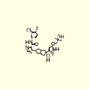 CN1NC(OCC(C)(C)O)C=C1C1(O)CC2CC(c3ncn(C)c3C(=O)Nc3ccc(F)c(Cl)c3)CC2C1